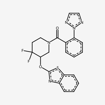 O=C(c1ccccc1-n1nccn1)N1CCC(F)(F)C(Oc2nc3ccccc3s2)C1